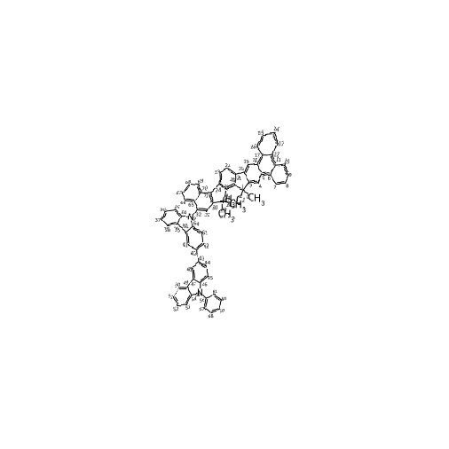 CC1(C)c2cc3c4ccccc4c4ccccc4c3cc2-c2ccc3c(c21)C(C)(C)c1cc(-n2c4ccccc4c4cc(-c5ccc6c(c5)c5ccccc5n6-c5ccccc5)ccc42)c2ccccc2c1-3